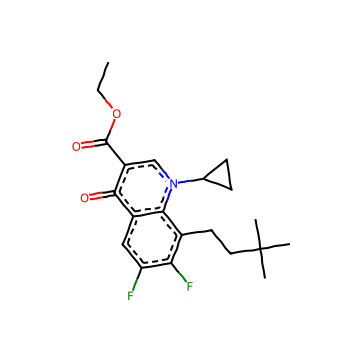 CCOC(=O)c1cn(C2CC2)c2c(CCC(C)(C)C)c(F)c(F)cc2c1=O